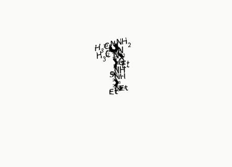 CCOCc1nc2c(N)nc(C)c(C)c2n1CCCNC(=S)NCCCN(CC)CC